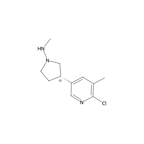 CNN1CC[C@@H](c2cnc(Cl)c(C)c2)C1